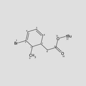 CC1C(Br)=CC=CC1CC(=O)OC(C)(C)C